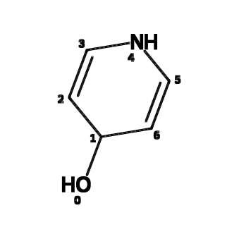 OC1C=CNC=C1